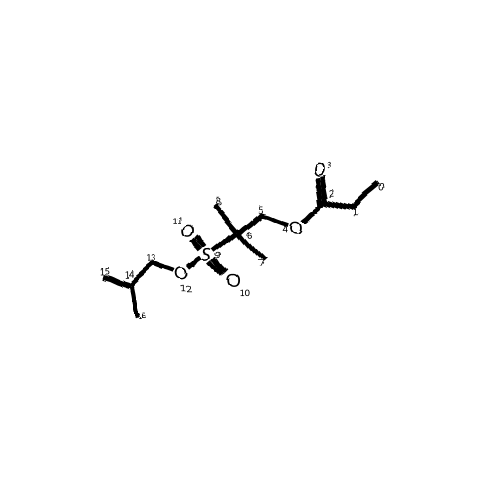 CCC(=O)OCC(C)(C)S(=O)(=O)OCC(C)C